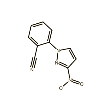 N#Cc1ccccc1-n1ccc([N+](=O)[O-])n1